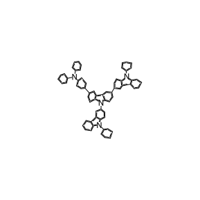 c1ccc(N(c2ccccc2)c2ccc(-c3ccc4c(c3)c3cc(-c5ccc6c(c5)c5ccccc5n6-c5ccccc5)ccc3n4-c3ccc4c(c3)c3ccccc3n4-c3ccccc3)cc2)cc1